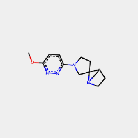 COc1ccc(N2CCC3(C2)C2CCN3CC2)nn1